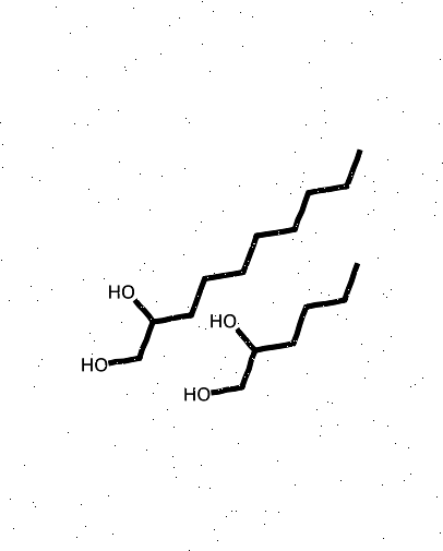 CCCCC(O)CO.CCCCCCCCC(O)CO